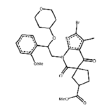 COC(=O)C1CCC2(C1)C(=O)c1c(sc(Br)c1C)N(CC(OC1CCOCC1)c1ccccc1OC)C2=O